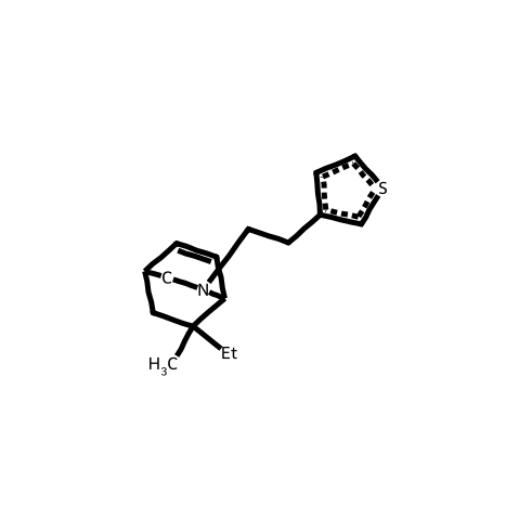 CCC1(C)CC2C=CC1N(CCc1ccsc1)C2